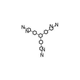 N#Cc1ccc(-c2ccc(-c3cc(-c4ccc(-c5ccc(C#N)nc5)cc4)cc(-c4ccc(-c5ccc(C#N)nc5)cc4)c3)cc2)cn1